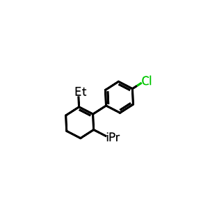 CCC1=C(c2ccc(Cl)cc2)C(C(C)C)CCC1